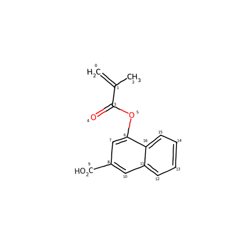 C=C(C)C(=O)Oc1cc(C(=O)O)cc2ccccc12